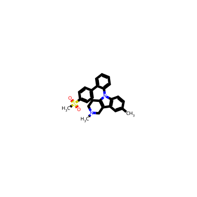 Cc1ccc2c(c1)c1c(n2-c2ccccc2-c2ccc(S(C)(=O)=O)cc2)CCN(C)C1